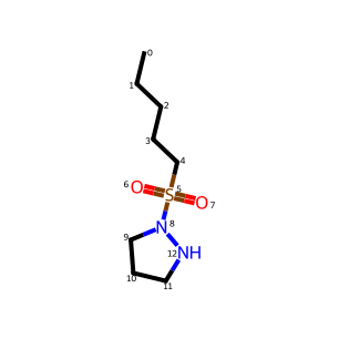 CCCCCS(=O)(=O)N1CCCN1